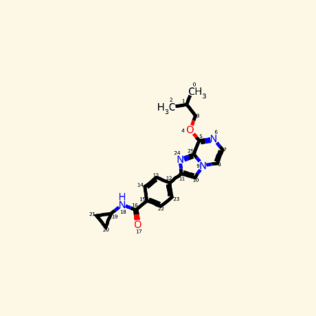 CC(C)COc1nccn2cc(-c3ccc(C(=O)NC4CC4)cc3)nc12